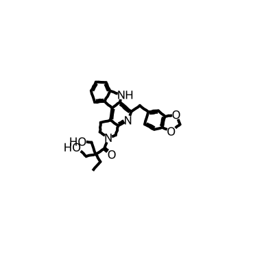 CCC(CO)(CO)C(=O)N1CCc2c(nc(Cc3ccc4c(c3)OCO4)c3[nH]c4ccccc4c23)C1